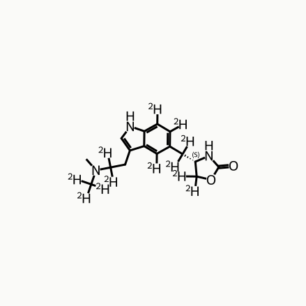 [2H]c1c(C([2H])([2H])[C@@H]2NC(=O)OC2([2H])[2H])c([2H])c2c(CC([2H])([2H])N(C)C([2H])([2H])[2H])c[nH]c2c1[2H]